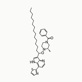 CCCCCCCCCCCCCCC(ON1CCN(C(=O)c2ccccc2)C[C@H]1C)c1c[nH]c2c(-c3nccs3)ccnc12